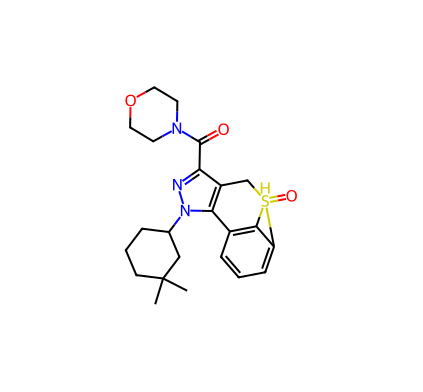 CC1(C)CCCC(n2nc(C(=O)N3CCOCC3)c3c2-c2cccc4c2[SH]4(=O)C3)C1